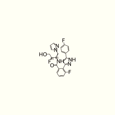 O=C(N[C@H](Cn1cccn1)[C@@H](F)CO)c1cccc(F)c1-c1cc(-c2ccc(F)cc2)[nH]n1